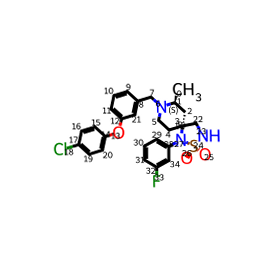 C[C@H]1C[C@]2(CCN1Cc1cccc(Oc3ccc(Cl)cc3)c1)CNS(=O)(=O)N2c1cccc(F)c1